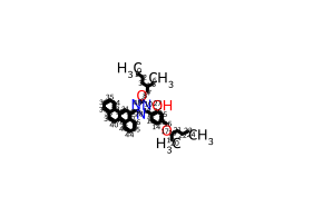 CCCCC(CC)COc1nc(-c2ccc(COC(CC)CCCC)cc2O)nc(-c2cc3c4ccccc4ccc3c3ccccc23)n1